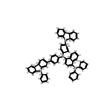 c1ccc(N(c2ccccc2)c2ccc(N(c3ccc(-c4ccc5c6ccccc6n(-c6ccccc6)c5c4)cc3)c3ccc(-n4c5ccccc5c5ccccc54)cc3)c3ccccc23)cc1